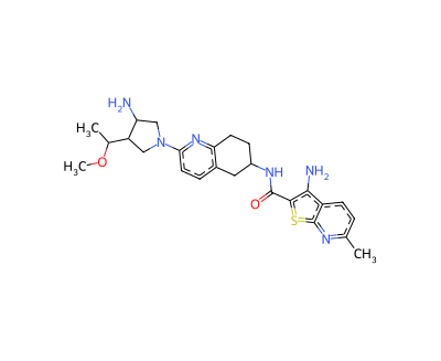 COC(C)C1CN(c2ccc3c(n2)CCC(NC(=O)c2sc4nc(C)ccc4c2N)C3)CC1N